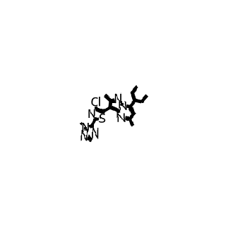 CCC(CC)c1cc(C)nc2c(-c3sc(-c4ncnn4C)nc3Cl)c(C)nn12